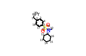 CC(C)Cc1ccc(S(=O)(=O)N(C)C2CCCCC2)cc1